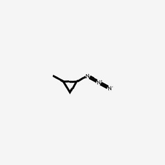 CC1CC1N=[N+]=[N-]